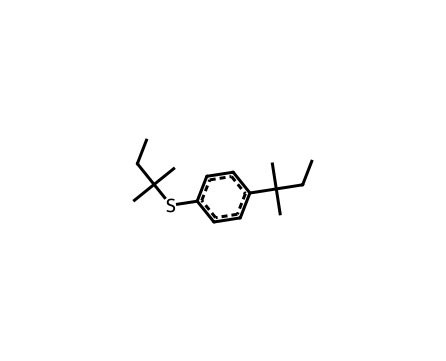 CCC(C)(C)Sc1ccc(C(C)(C)CC)cc1